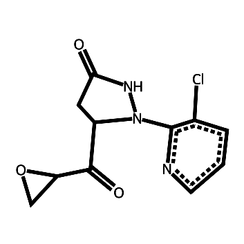 O=C1CC(C(=O)C2CO2)N(c2ncccc2Cl)N1